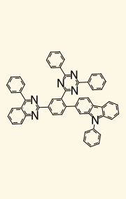 c1ccc(-c2nc(-c3ccccc3)nc(-c3cc(-c4nc(-c5ccccc5)c5ccccc5n4)ccc3-c3ccc4c5ccccc5n(-c5ccccc5)c4c3)n2)cc1